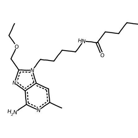 CCCCC(=O)NCCCCn1c(COCC)nc2c(N)nc(C)cc21